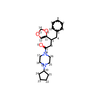 O=C(CC(Cc1ccccc1)C1=COCO1)N1CCN(C2CCCC2)CC1